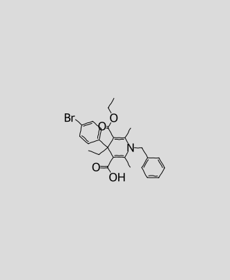 CCOC(=O)C1=C(C)N(Cc2ccccc2)C(C)=C(C(=O)O)C1(CC)c1ccc(Br)cc1